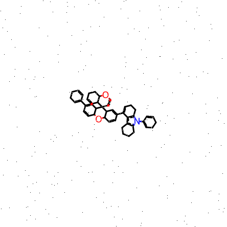 C1=CC(C2=CC3C(C=C2)OC2C=CC(C4=CCCc5c4c4c(n5C5=CCCC=C5)CCCC4)=CC2C32C3=CCCC=C3OC3CCC=CC32)=CCC1